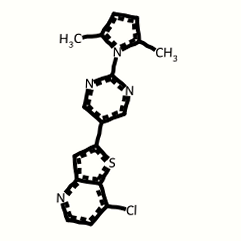 Cc1ccc(C)n1-c1ncc(-c2cc3nccc(Cl)c3s2)cn1